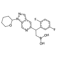 OB(O)CC(c1cc2cnn(C3CCCCO3)c2cn1)c1cc(F)ccc1F